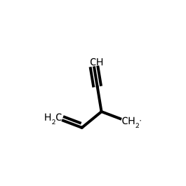 C#CC([CH2])C=C